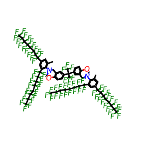 Cc1cc(C(F)(F)C(F)(F)C(F)(F)C(F)(F)C(F)(F)C(F)(F)C(F)(F)C(F)(F)F)cc(C(F)(F)C(F)(F)C(F)(F)C(F)(F)C(F)(F)C(F)(F)C(F)(F)C(F)(F)F)c1N1COc2ccc(C(c3ccc4c(c3)CN(c3c(C)cc(C(F)(F)C(F)(F)C(F)(F)C(F)(F)C(F)(F)C(F)(F)C(F)(F)C(F)(F)F)cc3C(F)(F)C(F)(F)C(F)(F)C(F)(F)C(F)(F)C(F)(F)C(F)(F)C(F)(F)F)CO4)(C(F)(F)F)C(F)(F)F)cc2C1